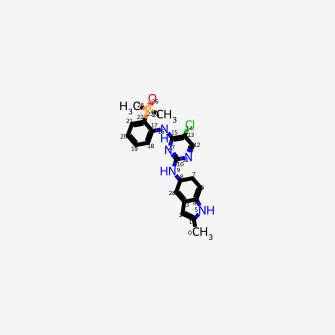 Cc1cc2c([nH]1)=CCC(Nc1ncc(Cl)c(Nc3ccccc3P(C)(C)=O)n1)C=2